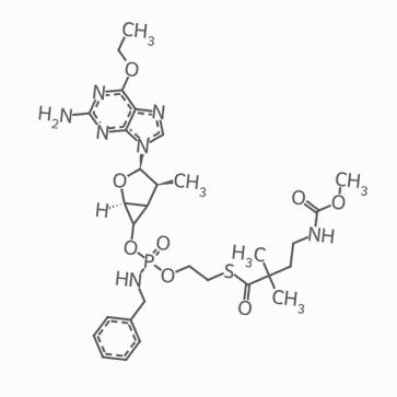 CCOc1nc(N)nc2c1ncn2[C@@H]1O[C@@H]2C(OP(=O)(NCc3ccccc3)OCCSC(=O)C(C)(C)CCNC(=O)OC)C2[C@@H]1C